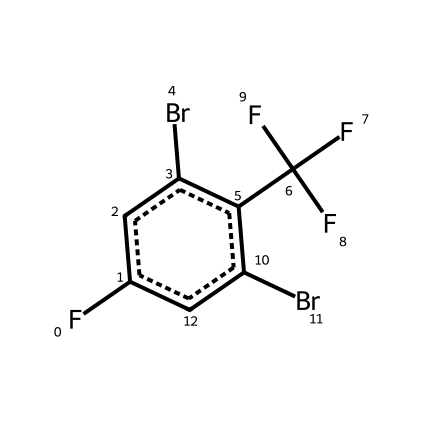 Fc1cc(Br)c(C(F)(F)F)c(Br)c1